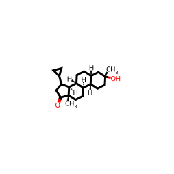 C[C@@]1(O)CC[C@H]2[C@H](CC[C@@H]3[C@@H]2CC[C@]2(C)C(=O)CC(C4CC4)[C@@H]32)C1